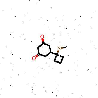 CSC1(C2CC(=O)CC(=O)C2)CCC1